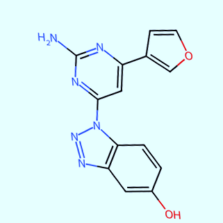 Nc1nc(-c2ccoc2)cc(-n2nnc3cc(O)ccc32)n1